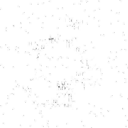 CC[C@H](C)[C@@H]1NC(=O)[C@H](CCCNC(=N)N)NC(=O)CNC(=O)[C@H](Cc2ccc(O)cc2)NC(=O)[C@H](Cc2c[nH]c3ccccc23)NC(=O)[C@H](Cc2c[nH]cn2)NC(=O)[C@@H]2CSCc3cc(cc(c3)OCCCCCCO/N=C/C(=O)N[C@@H](CC(N)=O)C(=O)N2)CSC[C@@H](C(N)=O)NC1=O